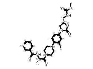 COC(=O)NC[C@H]1CN(c2ccc(N3CCN(C(=O)[C@H](C)NC(=O)c4cccnc4)CC3)c(F)c2)C(=O)O1